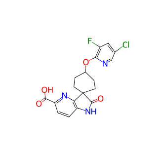 O=C(O)c1ccc2c(n1)C1(CCC(Oc3ncc(Cl)cc3F)CC1)C(=O)N2